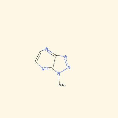 CC(C)(C)n1nnc2nccnc21